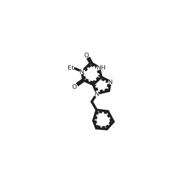 CCn1c(=O)[nH]c2ncn(Cc3ccccc3)c2c1=O